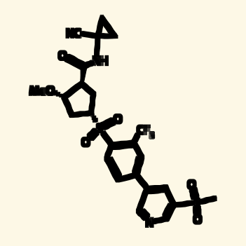 CO[C@H]1C[C@@H](S(=O)(=O)c2ccc(-c3cncc(S(C)(=O)=O)c3)cc2C(F)(F)F)C[C@@H]1C(=O)NC1(C#N)CC1